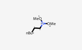 CCCCCCN(OC)OC